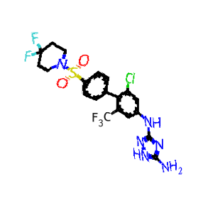 Nc1nc(Nc2cc(Cl)c(-c3ccc(S(=O)(=O)N4CCC(F)(F)CC4)cc3)c(C(F)(F)F)c2)n[nH]1